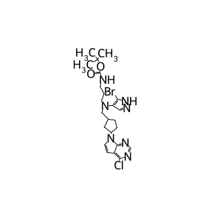 CC(C)(C)OC(=O)NCCCN(CC1CCC(n2ccc3c(Cl)ncnc32)C1)c1cn[nH]c1Br